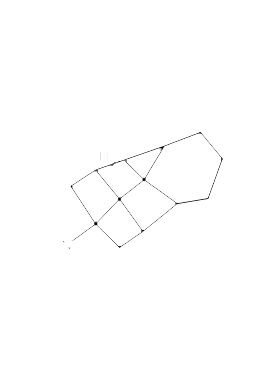 CC12C3CCCC1C1CC4(N)CC3C142